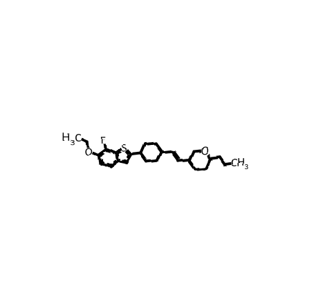 CCCC1CCC(/C=C/C2CCC(c3cc4ccc(OCC)c(F)c4s3)CC2)CO1